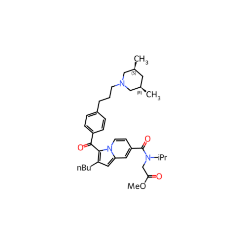 CCCCc1cc2cc(C(=O)N(CC(=O)OC)C(C)C)ccn2c1C(=O)c1ccc(CCCN2C[C@H](C)C[C@H](C)C2)cc1